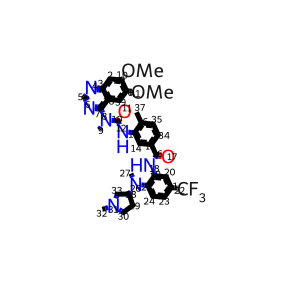 COc1cc2ncnc(N(C)C(=O)Nc3cc(C(=O)Nc4cc(C(F)(F)F)ccc4N(C)C4CCN(C)C4)ccc3C)c2cc1OC